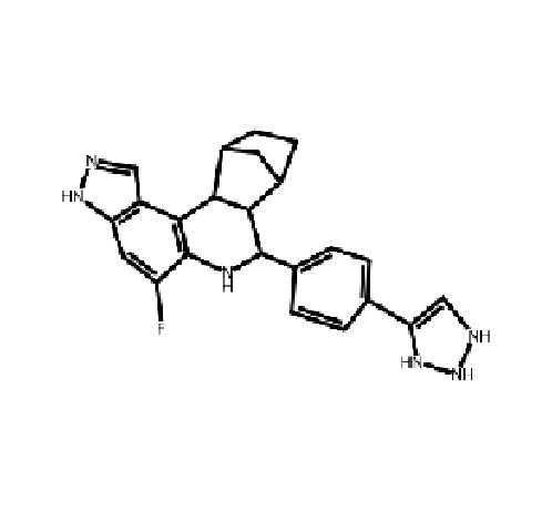 Fc1cc2[nH]ncc2c2c1NC(c1ccc(C3=CNNN3)cc1)C1C3CCC(C3)C21